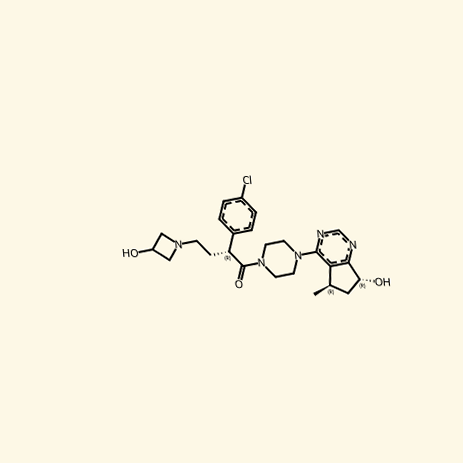 C[C@@H]1C[C@@H](O)c2ncnc(N3CCN(C(=O)[C@H](CCN4CC(O)C4)c4ccc(Cl)cc4)CC3)c21